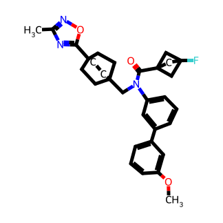 COc1cccc(-c2cccc(N(CC34CCC(c5nc(C)no5)(CC3)CC4)C(=O)C34CC(F)(C3)C4)c2)c1